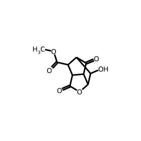 COC(=O)C1C2C(=O)C3C(OC(=O)C31)C2O